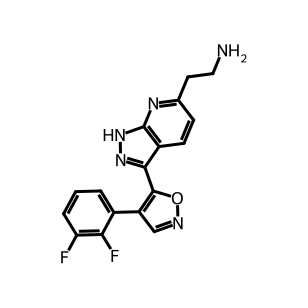 NCCc1ccc2c(-c3oncc3-c3cccc(F)c3F)n[nH]c2n1